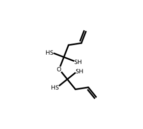 C=CCC(S)(S)OC(S)(S)CC=C